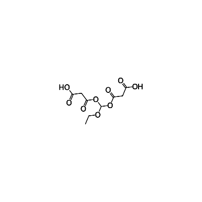 CCOC(OC(=O)CC(=O)O)OC(=O)CC(=O)O